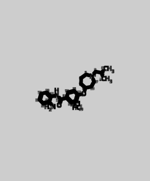 CC(C)CN1CCCC(Oc2ccc(C(=O)Nc3ccccc3N)cc2)CC1.Cl.Cl